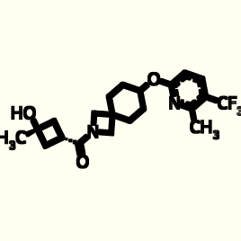 Cc1nc(OC2CCC3(CC2)CN(C(=O)[C@H]2C[C@@](C)(O)C2)C3)ccc1C(F)(F)F